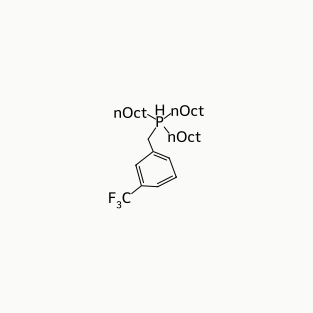 CCCCCCCC[PH](CCCCCCCC)(CCCCCCCC)Cc1cccc(C(F)(F)F)c1